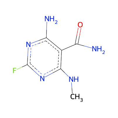 CNc1nc(F)nc(N)c1C(N)=O